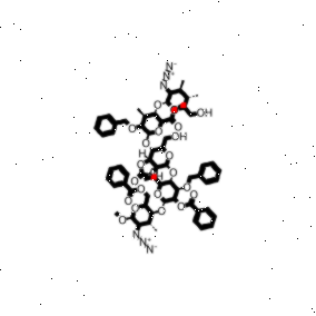 COC(=O)C1O[C@@H](O[C@@H]2C(CO)O[C@@H](O[C@H]3C(C(C)=O)O[C@@H](O[C@@H]4C(COC(=O)c5ccccc5)O[C@H](OC)C(N=[N+]=[N-])[C@H]4C)C(OC(=O)c4ccccc4)[C@@H]3OCc3ccccc3)C3NC(=O)O[C@H]32)C(OCc2ccccc2)[C@@H](C)[C@@H]1O[C@H]1OC(CO)[C@@H](C)[C@H](C)C1N=[N+]=[N-]